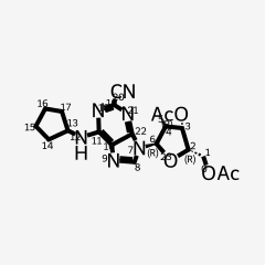 CC(=O)OC[C@H]1[CH][C@@H](OC(C)=O)[C@H](n2cnc3c(NC4CCCC4)nc(C#N)nc32)O1